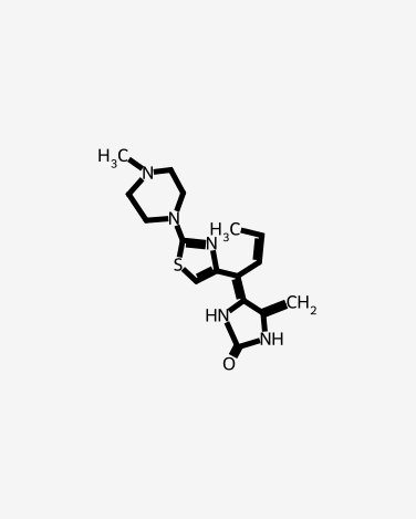 C=c1[nH]c(=O)[nH]/c1=C(/C=C\C)c1csc(N2CCN(C)CC2)n1